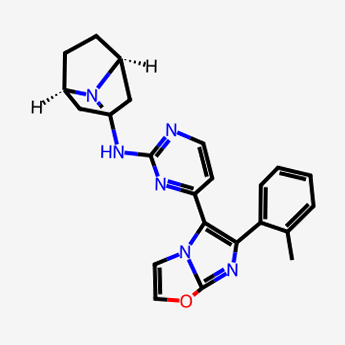 Cc1ccccc1-c1nc2occn2c1-c1ccnc(NC2C[C@H]3CC[C@@H](C2)N3C)n1